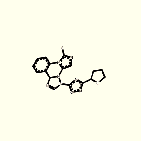 Fc1ncc2n1-c1ccccc1C1N=CN(c3nc(C4CCCO4)no3)N21